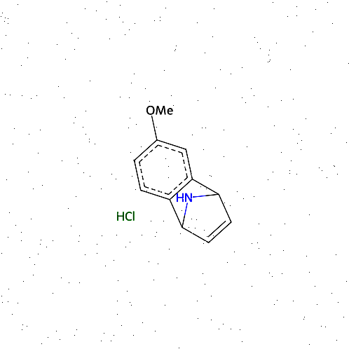 COc1ccc2c(c1)C1C=CC2N1.Cl